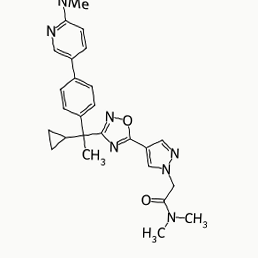 CNc1ccc(-c2ccc(C(C)(c3noc(-c4cnn(CC(=O)N(C)C)c4)n3)C3CC3)cc2)cn1